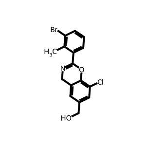 Cc1c(Br)cccc1C1=NCc2cc(CO)cc(Cl)c2O1